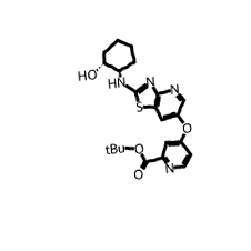 CC(C)(C)OC(=O)c1cc(Oc2cnc3nc(N[C@@H]4CCCC[C@H]4O)sc3c2)ccn1